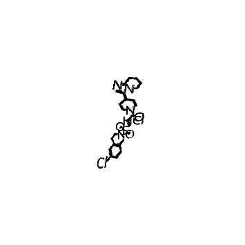 Cl.O=C(CCS(=O)(=O)N1CCc2cc(Cl)ccc2C1)N1CCC(c2cnc3n2CCCC3)CC1